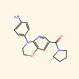 Nc1ccc(N2CCOc3cc(C(=O)N4CCCC4)cnc32)cc1